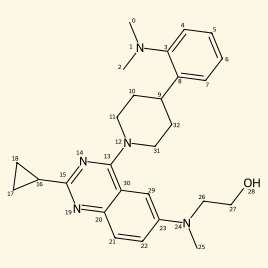 CN(C)c1ccccc1C1CCN(c2nc(C3CC3)nc3ccc(N(C)CCO)cc23)CC1